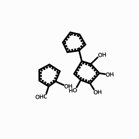 O=Cc1ccccc1O.Oc1cc(-c2ccccc2)c(O)c(O)c1O